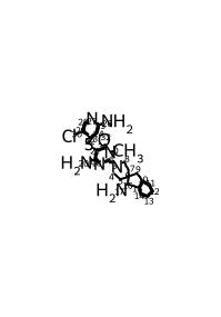 Cn1c(N2CCC3(CC2)Cc2ccccc2[C@H]3N)nc(N)c(Sc2cc(N)ncc2Cl)c1=O